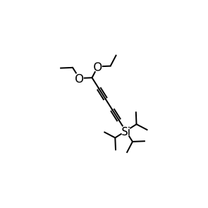 CCOC(C#CC#C[Si](C(C)C)(C(C)C)C(C)C)OCC